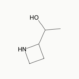 CC(O)C1CCN1